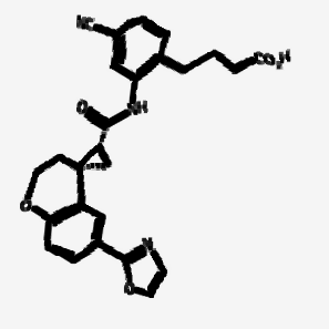 N#Cc1ccc(CCCC(=O)O)c(NC(=O)[C@@H]2C[C@]23CCOc2ccc(-c4ncco4)cc23)c1